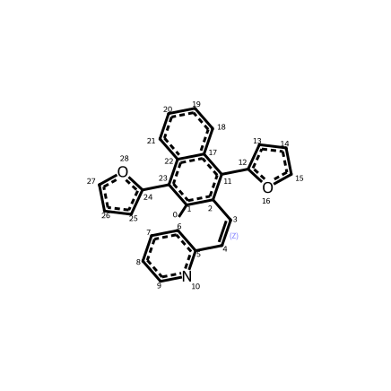 Cc1c(/C=C\c2ccccn2)c(-c2ccco2)c2ccccc2c1-c1ccco1